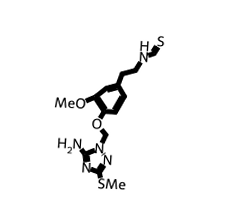 COc1cc(CCNC=S)ccc1OCn1nc(SC)nc1N